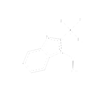 COn1c(C(F)(F)F)nc2ccccc21